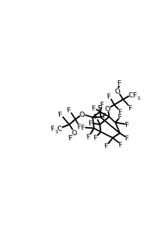 FOC(F)(C(F)(F)F)C(F)(F)OC12C(F)(F)C3(F)C(F)(F)C(F)(C1(F)F)C(F)(F)C(OC(F)(F)C(F)(OF)C(F)(F)F)(C3(F)F)C2(F)F